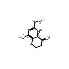 O=C1CCCc2c(O)cc(CO)nc21